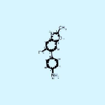 Cc1nc2cc(Cl)c(-c3ccc(N)cc3)cc2o1